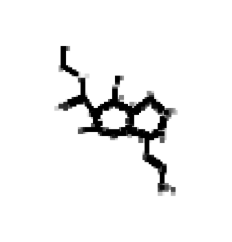 CCOC(=O)c1c(C)cc2c(C=NN)nncc2c1C